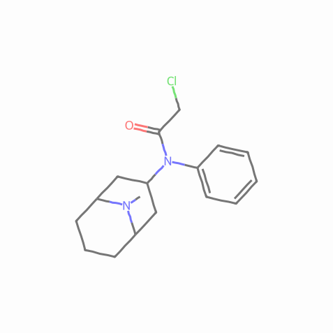 CN1C2CCCC1CC(N(C(=O)CCl)c1ccccc1)C2